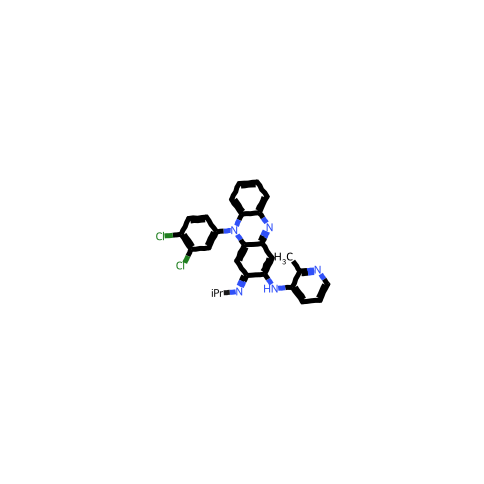 Cc1ncccc1Nc1cc2nc3ccccc3n(-c3ccc(Cl)c(Cl)c3)c-2c/c1=N\C(C)C